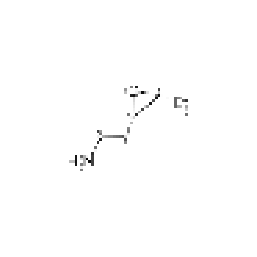 CC[C@H]1O[C@H]1CCN